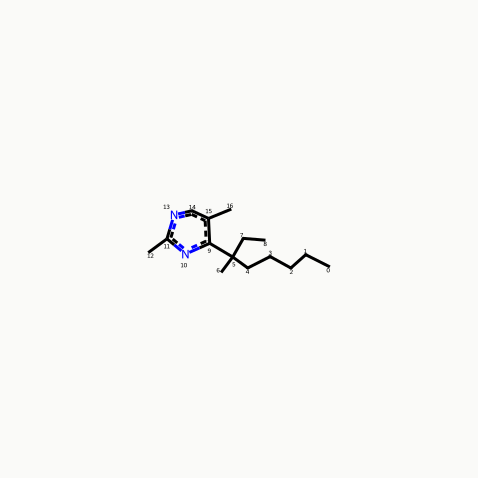 CCCCCC(C)(CC)c1nc(C)ncc1C